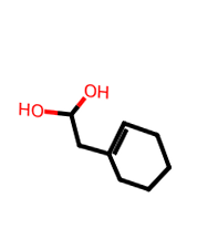 OC(O)CC1=CCCCC1